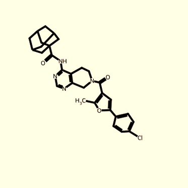 Cc1oc(-c2ccc(Cl)cc2)cc1C(=O)N1CCc2c(ncnc2NC(=O)C23CC4CC(CC(C4)C2)C3)C1